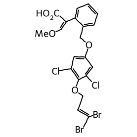 COC=C(C(=O)O)c1ccccc1COc1cc(Cl)c(OCC=C(Br)Br)c(Cl)c1